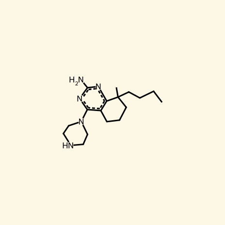 CCCCC1(C)CCCc2c(N3CCNCC3)nc(N)nc21